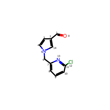 O=Cc1ccn(Cc2cccc(Cl)n2)c1